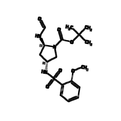 COc1ccccc1S(=O)(=O)N[C@@H]1C[C@@H](NC=O)N(C(=O)OC(C)(C)C)C1